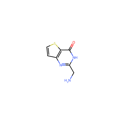 NCc1nc2ccsc2c(=O)[nH]1